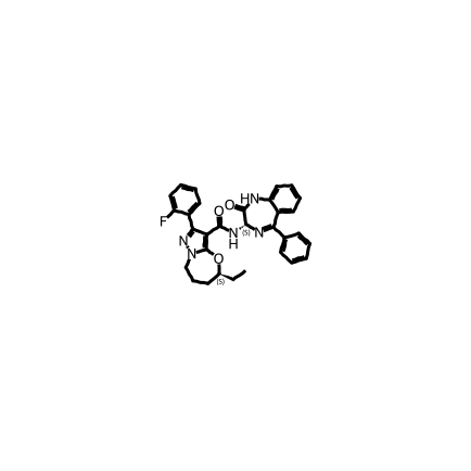 CC[C@H]1CCCn2nc(-c3ccccc3F)c(C(=O)N[C@H]3N=C(c4ccccc4)c4ccccc4NC3=O)c2O1